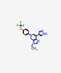 CCn1cnc2c1CN(c1ccc(OC(F)(F)F)cc1)C=C2c1cn[nH]c1